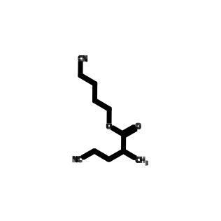 CC(CCC#N)C(=O)OCCCCC#N